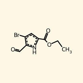 CCOC(=O)c1cc(Br)c(C=O)[nH]1